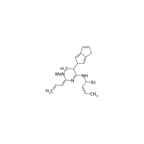 C=C/C=C(/N=C(/NC(/C=C\C)CC)C(C)C1C=C2C=CCC2=C1)NC